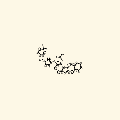 CC(C)C[C@@H](C(=O)Nc1ccn(C[C@@H]2COC(C)(C)O2)n1)N1CC(Oc2ccccc2Cl)=CC1=O